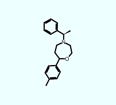 Cc1ccc(C2CCN([C@H](C)c3ccccc3)CCO2)cc1